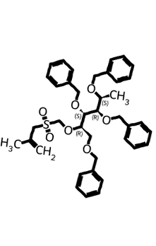 C=C(C)CS(=O)(=O)CO[C@H](COCc1ccccc1)[C@H](OCc1ccccc1)[C@H](OCc1ccccc1)[C@H](C)OCc1ccccc1